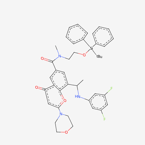 CC(Nc1cc(F)cc(F)c1)c1cc(C(=O)N(C)CCO[Si](c2ccccc2)(c2ccccc2)C(C)(C)C)cc2c(=O)cc(N3CCOCC3)oc12